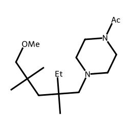 CCC(C)(CN1CCN(C(C)=O)CC1)CC(C)(C)COC